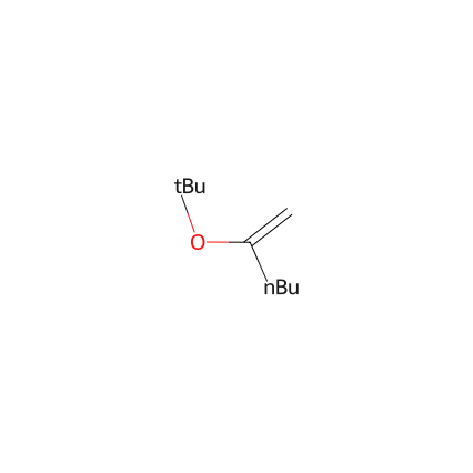 C=C(CCCC)OC(C)(C)C